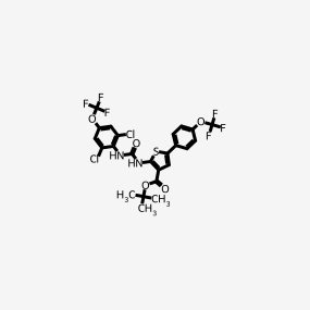 CC(C)(C)OC(=O)c1cc(-c2ccc(OC(F)(F)F)cc2)sc1NC(=O)Nc1c(Cl)cc(OC(F)(F)F)cc1Cl